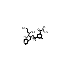 CCCN(CCC)C(=O)c1cc(C)cc(C(=O)NC(Cc2ccncc2)C(O)C(O)CCC#N)c1